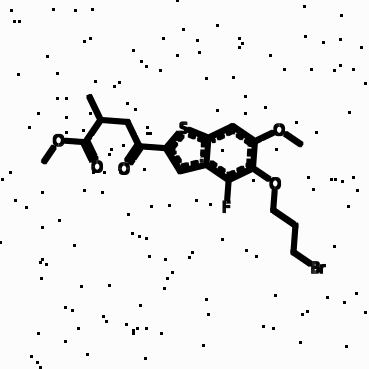 COC(=O)C(C)CC(=O)c1cc2c(F)c(OCCCBr)c(OC)cc2s1